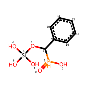 O=[PH](O)C(O[Si](O)(O)O)c1ccccc1